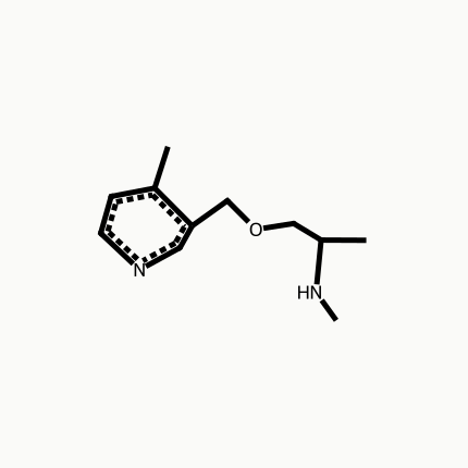 CNC(C)COCc1cnccc1C